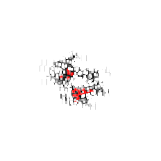 CC[C@H](C)[C@H](C[C@H](O)CC(=O)O[C@H]1[C@@H](O)[C@@H](C)O[C@@H](OC(=O)[C@]23CCC(C)(C)C[C@H]2C2=CCC4[C@@]5(C)CC[C@H](O[C@@H]6O[C@H](C(=O)O)[C@@H](O)[C@H](O[C@H]7C[C@@H](O)[C@H](C)CO7)[C@H]6O[C@@H]6O[C@H](CO)[C@H](O)[C@H](O)[C@H]6O)[C@@](C)(C=O)[C@@H]5CC[C@@]4(C)[C@]2(C)CC3)[C@@H]1O[C@@H]1O[C@@H](C)[C@H](O[C@@H]2OC[C@@H](O)[C@H](O)[C@H]2O)[C@@H](O[C@@H]2O[C@H](CO)[C@@H](O)[C@H](O)[C@H]2O)[C@H]1O)OC(=O)C[C@@H](O)C[C@H](O[C@@H]1O[C@@H](CO)[C@H](O)[C@H]1O)[C@@H](C)CC